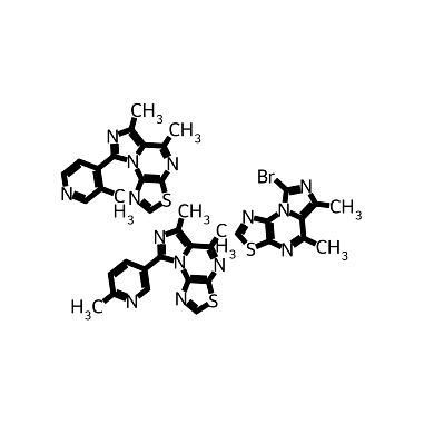 Cc1ccc(-c2nc(C)c3c(C)nc4scnc4n23)cn1.Cc1cnccc1-c1nc(C)c2c(C)nc3scnc3n12.Cc1nc(Br)n2c1c(C)nc1scnc12